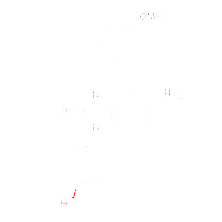 COc1ccc(Cn2c(=O)n([C@H]3CC[C@H](O)CC3)c3ccc([N+](=O)[O-])cc32)cc1C